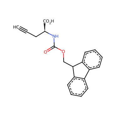 C#CC[C@H](NC(=O)OCC1c2ccccc2-c2ccccc21)C(=O)O